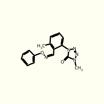 Cc1cccc(-n2nnn(C)c2=O)c1/C=N\Oc1ccccc1